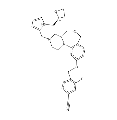 N#Cc1ccc(COc2ccc3c(n2)N2CCN(CC4=CC=C[SH]4C[C@@H]4CCO4)CC2COC3)c(F)c1